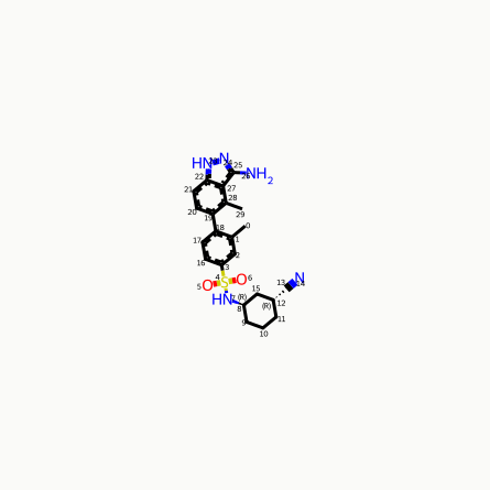 Cc1cc(S(=O)(=O)N[C@@H]2CCC[C@@H](C#N)C2)ccc1-c1ccc2[nH]nc(N)c2c1C